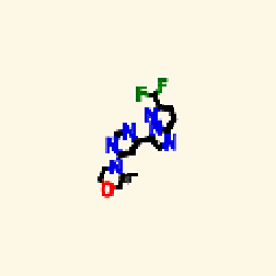 C[C@H]1COCCN1c1cc(-c2cnc3ccc(C(F)F)nn23)ncn1